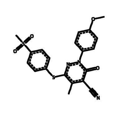 COc1ccc(-n2nc(Sc3ccc(S(C)(=O)=O)cc3)c(C)c(C#N)c2=O)cc1